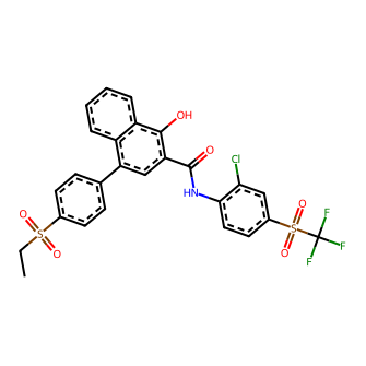 CCS(=O)(=O)c1ccc(-c2cc(C(=O)Nc3ccc(S(=O)(=O)C(F)(F)F)cc3Cl)c(O)c3ccccc23)cc1